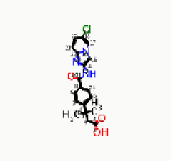 CC(C)(CC(=O)O)c1ccc(C(=O)Nc2cn3cc(Cl)ccc3n2)cc1